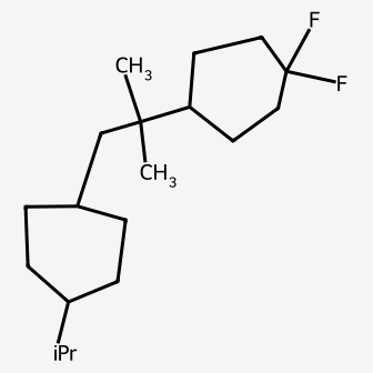 CC(C)C1CCC(CC(C)(C)C2CCC(F)(F)CC2)CC1